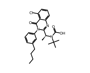 CCCCc1cccc(-n2c([C@H](C)N(C(=O)O)C(C)(C)C)nc3cccc(Cl)c3c2=O)c1